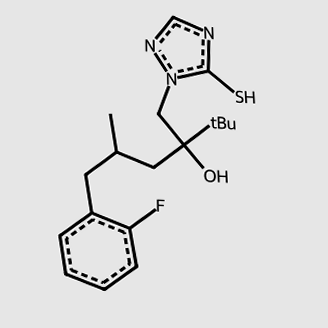 CC(Cc1ccccc1F)CC(O)(Cn1ncnc1S)C(C)(C)C